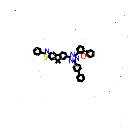 CC1(C)c2cc(-c3nc(-c4ccc(-c5ccccc5)cc4)nc(-c4cccc5c4oc4ccccc45)n3)ccc2-c2cc3nc(-c4ccccc4)sc3cc21